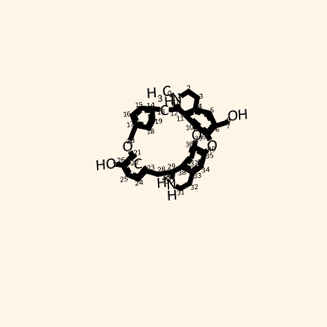 CN1CCc2cc(CO)c3c4c2[C@@H]1Cc1ccc(cc1)Oc1cc(ccc1O)C[C@@H]1NCCc2cc(c(cc21)O4)O3